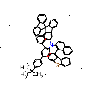 CC(C)(C)c1ccc(-c2ccc(N(c3ccc4c(c3)-c3ccccc3C43c4ccccc4-c4ccccc43)c3ccc4ccccc4c3-c3cccc4sc5ccccc5c34)c(-c3ccccc3)c2)cc1